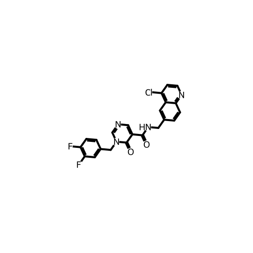 O=C(NCc1ccc2nccc(Cl)c2c1)c1cncn(Cc2ccc(F)c(F)c2)c1=O